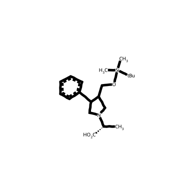 C[C@H](C(=O)O)N1CC(CO[Si](C)(C)C(C)(C)C)C(c2ccccc2)C1